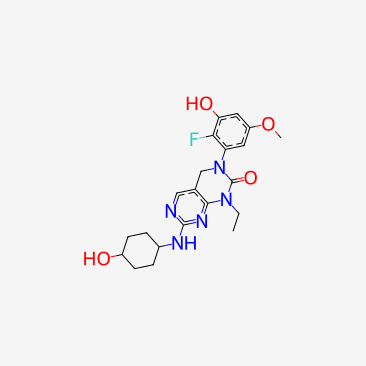 CCN1C(=O)N(c2cc(OC)cc(O)c2F)Cc2cnc(NC3CCC(O)CC3)nc21